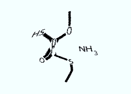 COP(=O)(S)SC.N